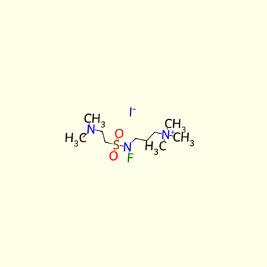 CN(C)CCS(=O)(=O)N(F)CCC[N+](C)(C)C.[I-]